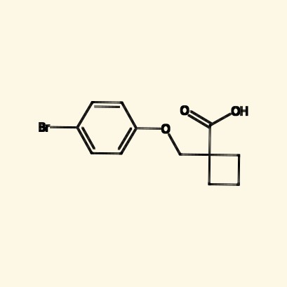 O=C(O)C1(COc2ccc(Br)cc2)CCC1